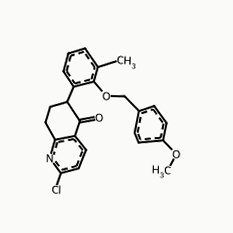 COc1ccc(COc2c(C)cccc2C2CCc3nc(Cl)ccc3C2=O)cc1